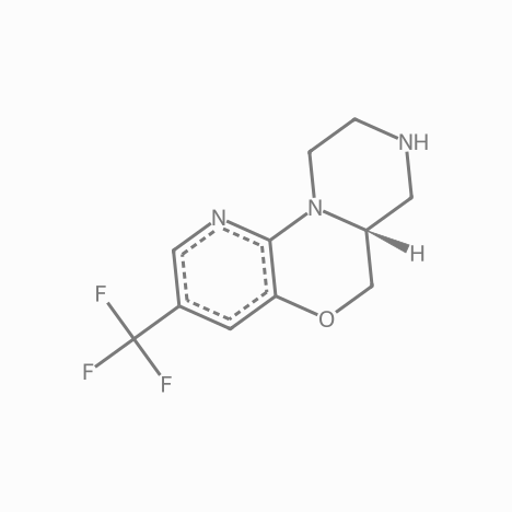 FC(F)(F)c1cnc2c(c1)OC[C@H]1CNCCN21